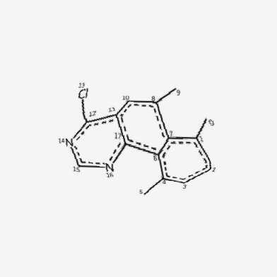 Cc1ccc(C)c2c1c(C)cc1c(Cl)ncnc12